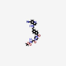 CC(C)(C)OC(=O)NCCC(=O)N1CCN(C(=O)c2ccc3cc(CCNc4ccnc5ccc(C#N)cc45)ccc3c2)CC1